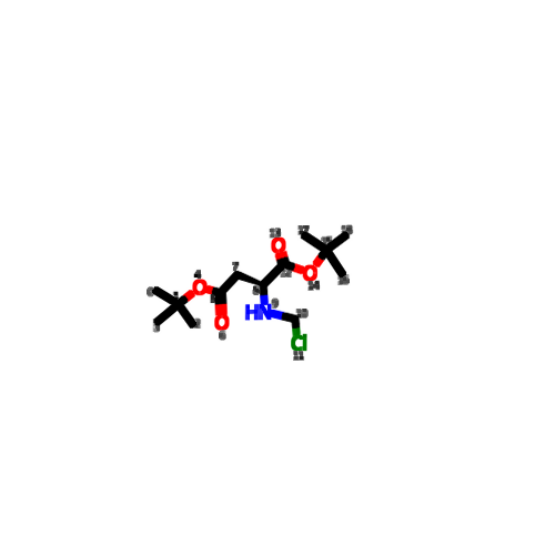 CC(C)(C)OC(=O)C[C@H](NCCl)C(=O)OC(C)(C)C